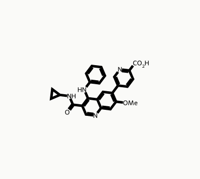 COc1cc2ncc(C(=O)NC3CC3)c(Nc3ccccc3)c2cc1-c1ccc(C(=O)O)nc1